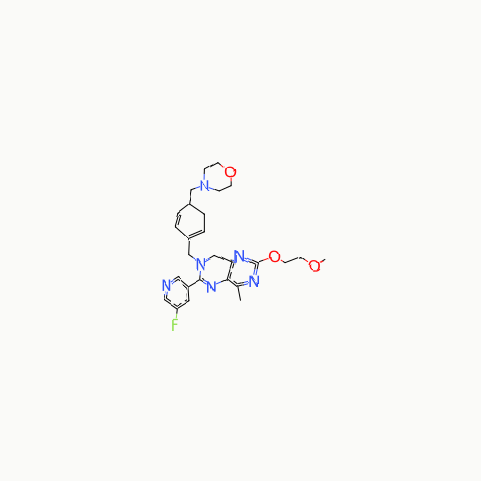 COCCOc1nc(C)c2c(n1)CN(CC1=CCC(CN3CCOCC3)C=C1)C(c1cncc(F)c1)=N2